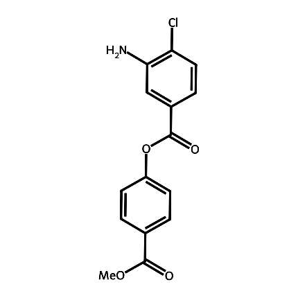 COC(=O)c1ccc(OC(=O)c2ccc(Cl)c(N)c2)cc1